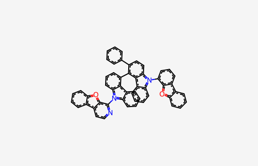 c1ccc(-c2ccc3c(c2-c2cccc4c2c2ccccc2n4-c2nccc4c2oc2ccccc24)c2ccccc2n3-c2cccc3c2oc2ccccc23)cc1